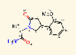 CC[C@@H](C(N)=O)N1CC(c2ccccc2OC)CC1=O